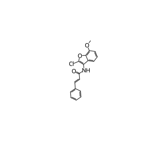 COc1cccc2c(NC(=O)C=Cc3ccccc3)c(Cl)oc12